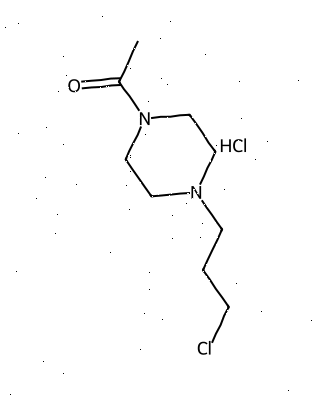 CC(=O)N1CCN(CCCCl)CC1.Cl